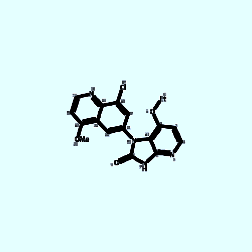 CCOc1ccnc2[nH]c(=O)n(-c3cc(Cl)c4nccc(OC)c4c3)c12